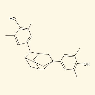 Cc1cc(C2C3CC4CC2CC(c2cc(C)c(O)c(C)c2)(C4)C3)cc(C)c1O